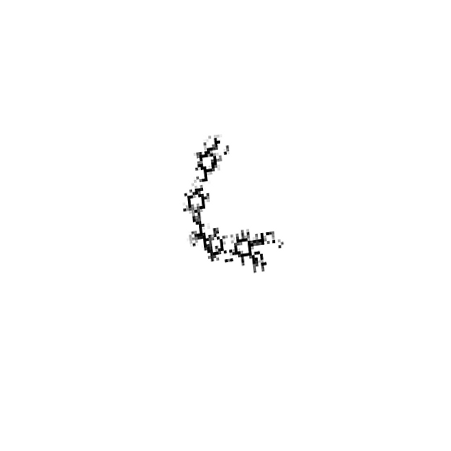 CCOc1cc(OC2CCN(C(=O)CCN3CCC(OCc4ccc(C(F)(F)F)cc4)CC3)CC2)ccc1[N+](=O)[O-]